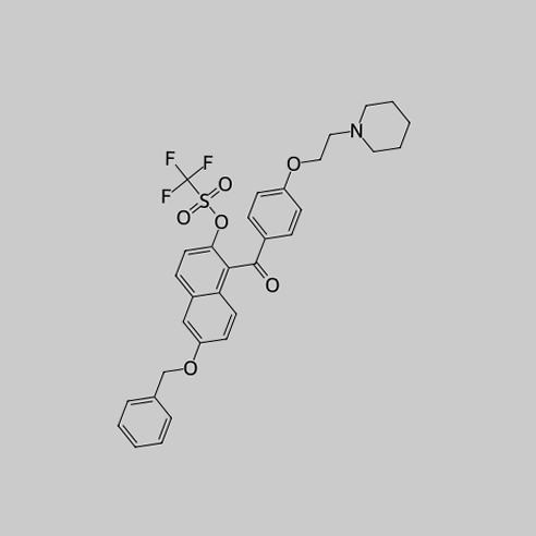 O=C(c1ccc(OCCN2CCCCC2)cc1)c1c(OS(=O)(=O)C(F)(F)F)ccc2cc(OCc3ccccc3)ccc12